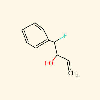 C=CC(O)C(F)c1ccccc1